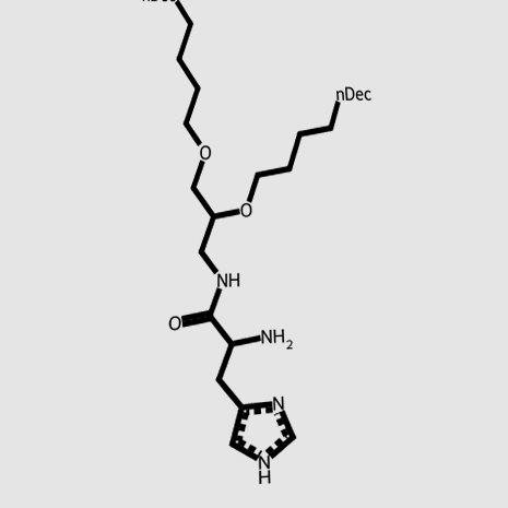 CCCCCCCCCCCCCCOCC(CNC(=O)C(N)Cc1c[nH]cn1)OCCCCCCCCCCCCCC